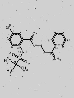 C=C(CCNC(=O)c1cc(Br)ccc1NS(=O)(=O)C(C)(C)C)c1ccccc1